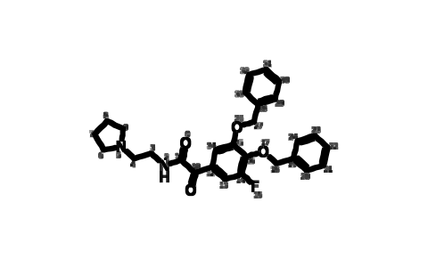 O=C(NCCN1CCCC1)C(=O)c1cc(F)c(OCc2ccccc2)c(OCc2ccccc2)c1